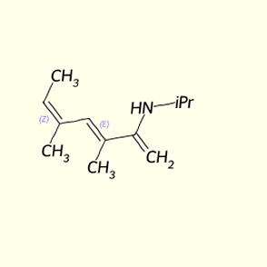 C=C(NC(C)C)/C(C)=C/C(C)=C\C